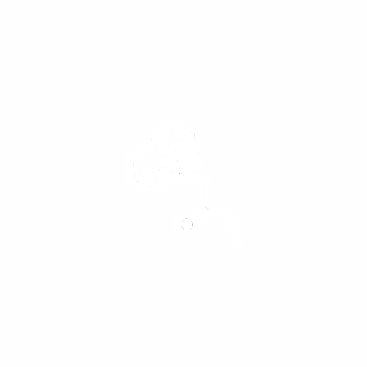 CCC(=O)CC12CC3CC(CC(C3)C1)C2